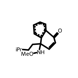 CONC1(CCC(C)C)C=CC(=O)c2ccccc21